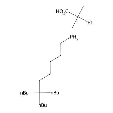 CCC(C)(C)C(=O)O.CCCCC(CCCC)(CCCC)CCCCCP